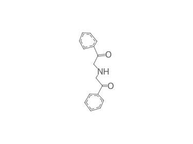 O=C(CNCC(=O)c1ccccc1)c1ccccc1